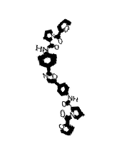 O=C(Nc1ccc(-c2cnc(-c3ccc(NC(=O)[C@@H]4CCCN4C(=O)C4CCCO4)cc3)o2)cc1)[C@@H]1CCCN1C(=O)C1CCCO1